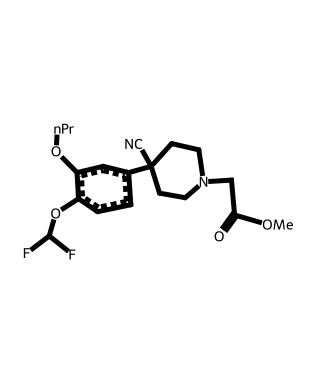 CCCOc1cc(C2(C#N)CCN(CC(=O)OC)CC2)ccc1OC(F)F